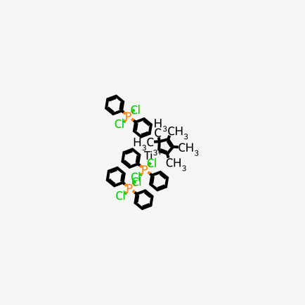 CC1=C(C)C(C)(C)[C]([Ti+3])=C1C.Cl[P-](Cl)(c1ccccc1)c1ccccc1.Cl[P-](Cl)(c1ccccc1)c1ccccc1.Cl[P-](Cl)(c1ccccc1)c1ccccc1